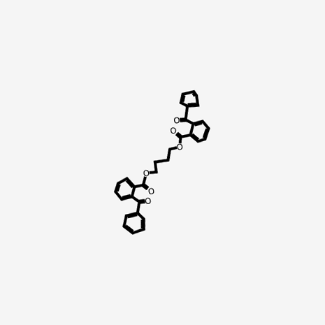 O=C(OCCCCOC(=O)c1ccccc1C(=O)c1ccccc1)c1ccccc1C(=O)c1ccccc1